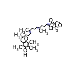 C/C(=C\CC/C(C)=C/CCC1(C)CCc2c(C)c(O)c(C)c(C)c2O1)CC/C=C(\C)C(=O)N1CCOCC1